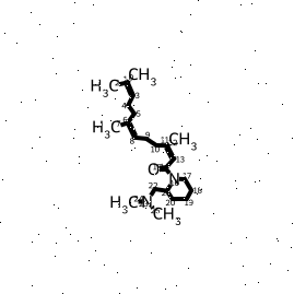 CC(C)=CCCC(C)=CCCC(C)=CC(=O)N1CCCCC1CN(C)C